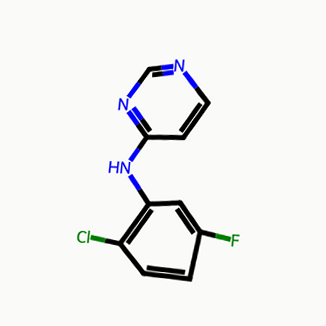 Fc1ccc(Cl)c(Nc2ccncn2)c1